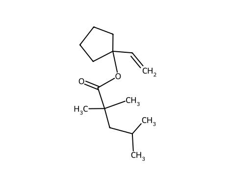 C=CC1(OC(=O)C(C)(C)CC(C)C)CCCC1